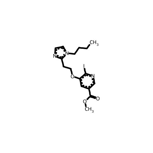 CCCCn1ccnc1CCOc1cc(C(=O)OC)cnc1I